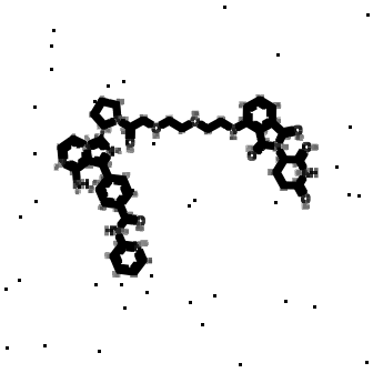 Nc1nccn2c([C@@H]3CCCN3C(=O)COCCOCCSc3cccc4c3C(=O)N(C3CCC(=O)NC3=O)C4=O)nc(-c3ccc(C(=O)Nc4ccccn4)cc3)c12